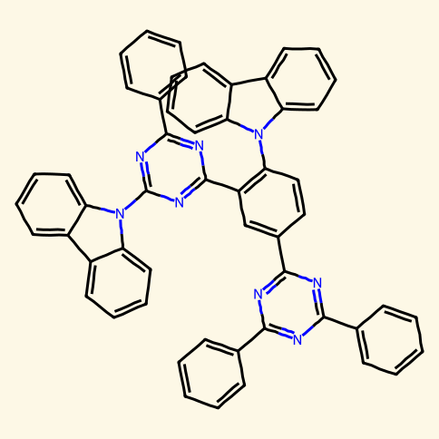 c1ccc(-c2nc(-c3ccccc3)nc(-c3ccc(-n4c5ccccc5c5ccccc54)c(-c4nc(-c5ccccc5)nc(-n5c6ccccc6c6ccccc65)n4)c3)n2)cc1